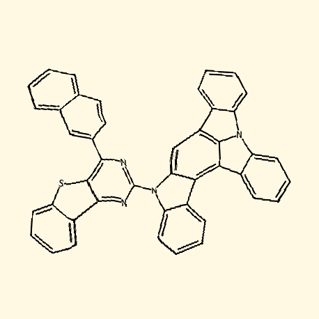 c1ccc2cc(-c3nc(-n4c5ccccc5c5c6c7ccccc7n7c8ccccc8c(cc54)c67)nc4c3sc3ccccc34)ccc2c1